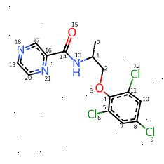 CC(COc1c(Cl)cc(Cl)cc1Cl)NC(=O)c1cnccn1